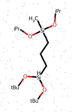 CC(C)O[Si](C)(CCC[SiH](OC(C)(C)C)OC(C)(C)C)OC(C)C